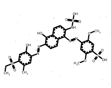 CCS(=O)(=O)c1cc(O)c(/N=N/c2ccc3c(/N=N/c4cc(OC)c(S(=O)(=O)O)cc4OC)c(NS(=O)(=O)O)ccc3c2O)cc1C